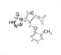 Cc1ccccc1OCc1c(-n2nn[nH]c2=O)coc1C1CC1